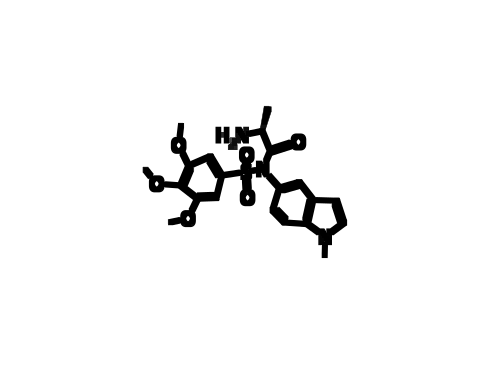 COc1cc(S(=O)(=O)N(C(=O)[C@H](C)N)c2ccc3c(ccn3C)c2)cc(OC)c1OC